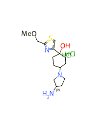 COCc1nc(C2(O)CCC(N3CC[C@@H](N)C3)CC2)cs1.Cl.Cl